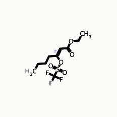 CCCC/C(=C/C(=O)OCC)OS(=O)(=O)C(F)(F)F